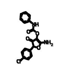 NC1=C(OC(=O)Nc2ccccc2)C(=O)C(c2ccc(Cl)cc2)O1